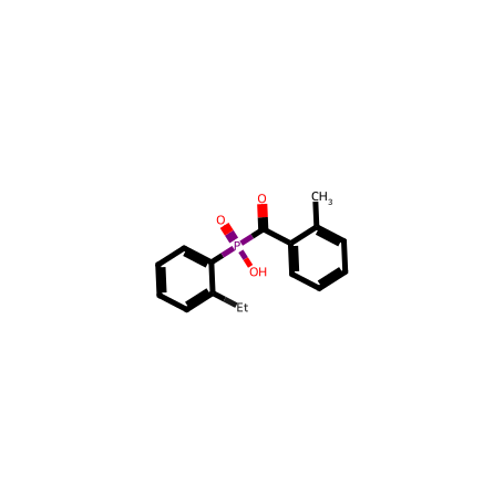 CCc1ccccc1P(=O)(O)C(=O)c1ccccc1C